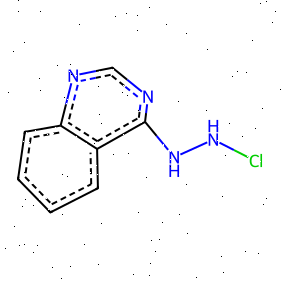 ClNNc1ncnc2ccccc12